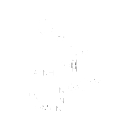 COC(=O)CCC(N=[N+]=[N-])C(NC(C)=O)C(O)[C@H](OC(C)=O)[C@@H](CNC(=O)c1ccc(-c2ccccc2)cc1)OC(C)=O